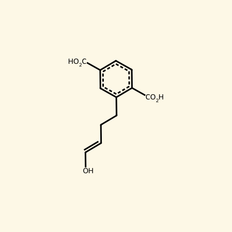 O=C(O)c1ccc(C(=O)O)c(CCC=CO)c1